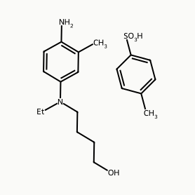 CCN(CCCCO)c1ccc(N)c(C)c1.Cc1ccc(S(=O)(=O)O)cc1